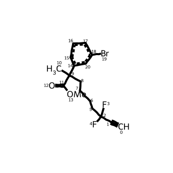 C#CC(F)(F)CCCCC(C)(C(=O)OC)c1cccc(Br)c1